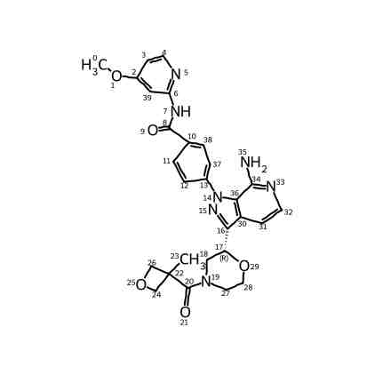 COc1ccnc(NC(=O)c2ccc(-n3nc([C@H]4CN(C(=O)C5(C)COC5)CCO4)c4ccnc(N)c43)cc2)c1